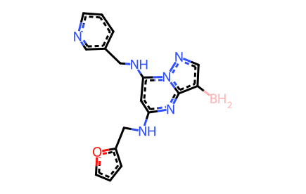 Bc1cnn2c(NCc3cccnc3)cc(NCc3ccco3)nc12